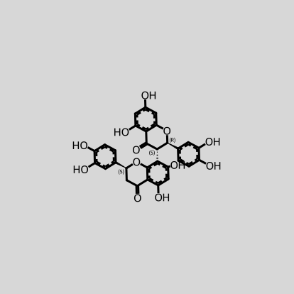 O=C1C[C@@H](c2ccc(O)c(O)c2)Oc2c1c(O)cc(O)c2[C@@H]1C(=O)c2c(O)cc(O)cc2O[C@H]1c1ccc(O)c(O)c1